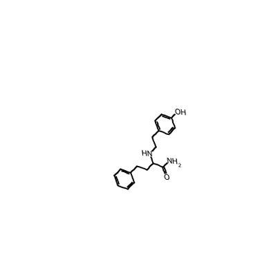 NC(=O)C(CCc1ccccc1)NCCc1ccc(O)cc1